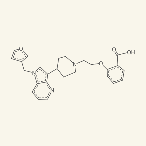 O=C(O)c1ccccc1OCCN1CCC(c2cn(Cc3ccoc3)c3cccnc23)CC1